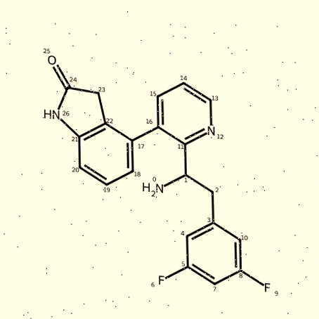 NC(Cc1cc(F)cc(F)c1)c1ncccc1-c1cccc2c1CC(=O)N2